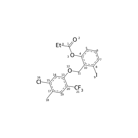 CCC(=O)Oc1cccc(I)c1COc1cc(Cl)c(C)cc1C(F)(F)F